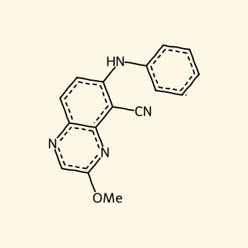 COc1cnc2ccc(Nc3c[c]ccc3)c(C#N)c2n1